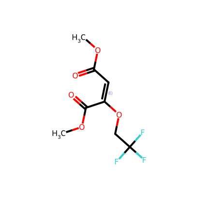 COC(=O)/C=C(/OCC(F)(F)F)C(=O)OC